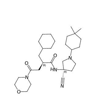 CC1(C)CCC(N2CC[C@@](C#N)(NC(=O)[C@@H](CC(=O)N3CCOCC3)CC3CCCCC3)C2)CC1